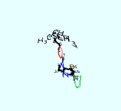 C[Si](C)(C)CCOCn1ccc2nc(Cl)cc(Br)c21